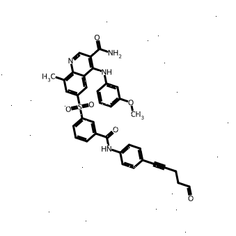 COc1cccc(Nc2c(C(N)=O)cnc3c(C)cc(S(=O)(=O)c4cccc(C(=O)Nc5ccc(C#CCCC=O)cc5)c4)cc23)c1